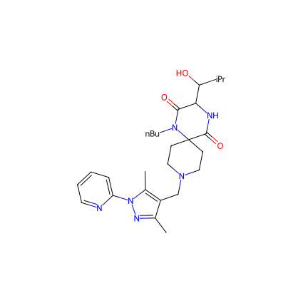 CCCCN1C(=O)C(C(O)C(C)C)NC(=O)C12CCN(Cc1c(C)nn(-c3ccccn3)c1C)CC2